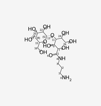 NCCCNC(=O)C(O)C(O)C(O[C@@H]1OC(CO)[C@H](O)C(O)C1O)C(O)CO